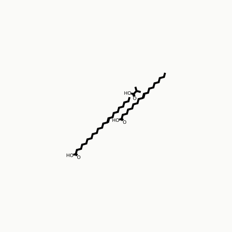 CC(C)C(=O)O.CCCCCCCCC=CCCCCCCCC(=O)O.CCCCCCCCC=CCCCCCCCCCCCC(=O)O